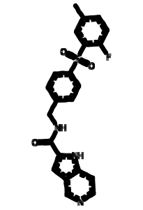 Cc1ccc(F)c(S(=O)(=O)c2ccc(CNC(=O)c3cc4cnccc4[nH]3)cc2)c1